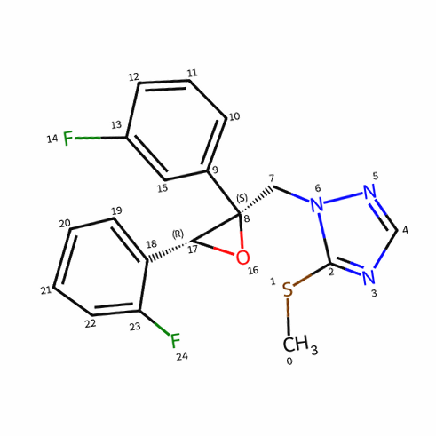 CSc1ncnn1C[C@]1(c2cccc(F)c2)O[C@@H]1c1ccccc1F